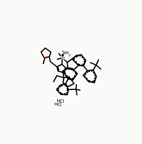 CCC1(CC2=Cc3c(-c4ccccc4C(C)(C)C)cccc3[CH]2[Zr]([CH3])([CH3])(=[SiH2])[CH]2C(CC3(CC)CCCC3)=Cc3c(-c4ccccc4C(C)(C)C)cccc32)CCCC1.Cl.Cl